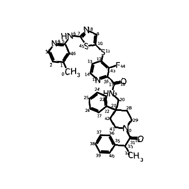 Cc1ccnc(Nc2ncc(Sc3ccnc(C(=O)NCC4(c5ccccc5)CCN(C(=O)C(C)c5ccccc5)CC4)c3F)s2)c1